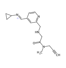 C#CCN(C)C(=O)CNCc1cc(/C=N/C2CC2)ccn1